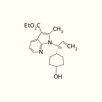 C=C[C@H](C1CCC(O)CC1)n1c(C)c(C(=O)OCC)c2cccnc21